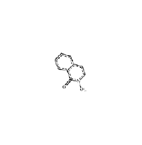 Cn1ccc2c[c]ccc2c1=O